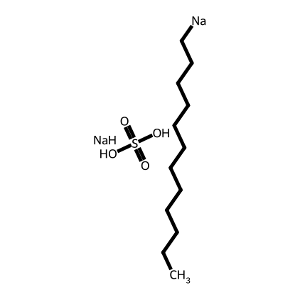 CCCCCCCCCCC[CH2][Na].O=S(=O)(O)O.[NaH]